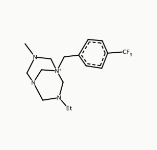 CCN1CN2CN(C)C[N+](Cc3ccc(C(F)(F)F)cc3)(C1)C2